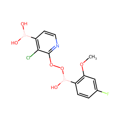 COc1cc(F)ccc1B(O)OOc1nccc(B(O)O)c1Cl